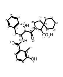 Cc1c(O)cccc1C(=O)N[C@@H](Cc1ccccc1)[C@H](O)C(=O)N1CSC2(CCCCC2)[C@H]1C(=O)O